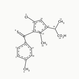 Cc1ccc(C(=S)c2c(Cl)cc(C(C)C(=O)O)n2C)cc1